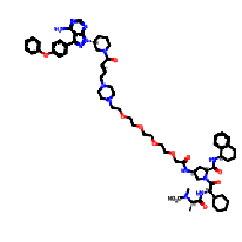 C[C@@H](C(=O)N[C@H](C(=O)N1C[C@@H](NC(=O)COCCOCCOCCOCCN2CCN(C/C=C/C(=O)N3CCC[C@@H](n4nc(-c5ccc(Oc6ccccc6)cc5)c5c(N)ncnc54)C3)CC2)C[C@H]1C(=O)N[C@@H]1CCCc2ccccc21)C1CCCCC1)N(C)C(=O)O